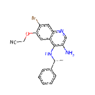 C[C@@H](Nc1c(N)cnc2cc(Br)c(OCC#N)cc12)c1ccccc1